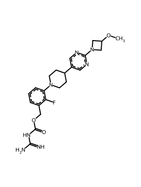 COC1CN(c2ncc(C3CCN(c4cccc(COC(=O)NC(=N)N)c4F)CC3)cn2)C1